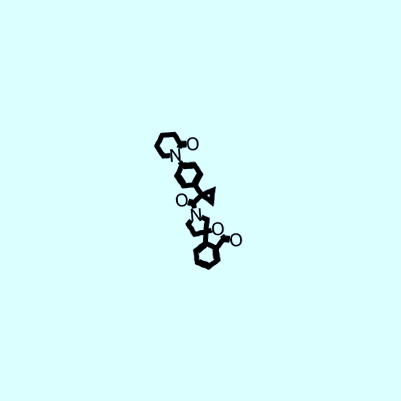 O=C1OC2(CCN(C(=O)C3(c4ccc(N5CCCCC5=O)cc4)CC3)C2)c2ccccc21